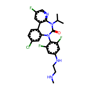 CNCCNc1cc(F)c(N2C(=O)N(C(C)C)c3ncc(F)cc3-c3ccc(Cl)cc32)c(F)c1